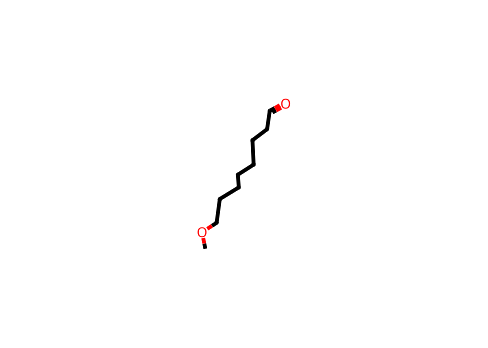 COCCCCCCCC=O